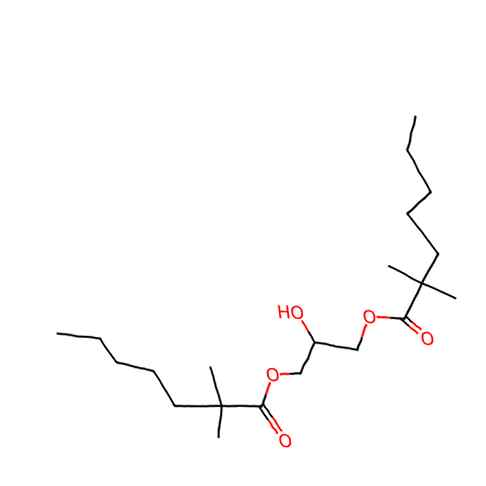 CCCCCC(C)(C)C(=O)OCC(O)COC(=O)C(C)(C)CCCCC